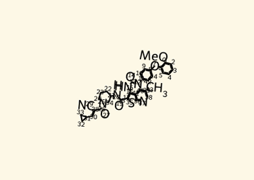 COc1ccccc1Oc1ccc(N2C(=O)Nc3c(C(=O)NC4CCCN(C(=O)/C(C#N)=C/C5CC5)C4)sc4nccc2c34)c(C)c1